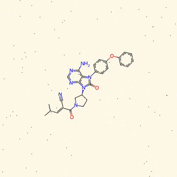 CC(C)C=C(C#N)C(=O)N1CC[C@H](n2c(=O)n(-c3ccc(Oc4ccccc4)cc3)c3c(N)ncnc32)C1